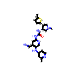 Cc1cc(Nc2cnc(NC(=O)N[C@H]3CN(C)C[C@@H]3c3ccc(C)s3)cc2C=N)ccn1